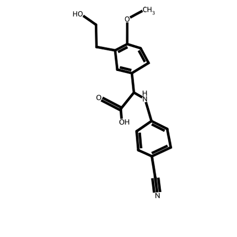 COc1ccc(C(Nc2ccc(C#N)cc2)C(=O)O)cc1CCO